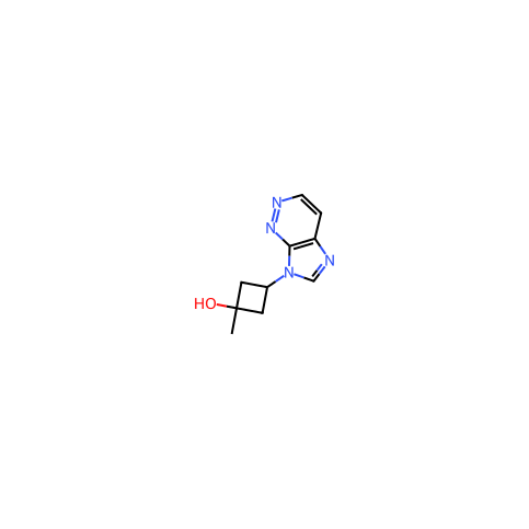 CC1(O)CC(n2cnc3ccnnc32)C1